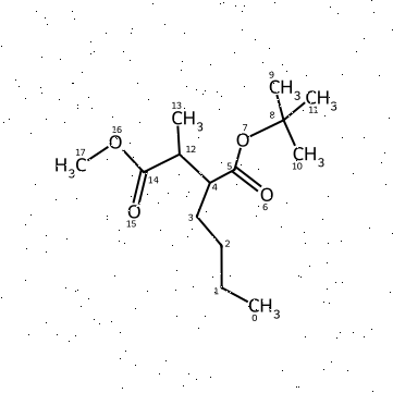 CCCCC(C(=O)OC(C)(C)C)C(C)C(=O)OC